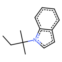 CCC(C)(C)n1ccc2ccccc21